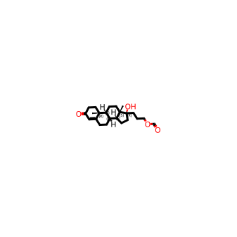 C[C@]12CCC(=O)C=C1CC[C@@H]1[C@@H]2CC[C@@]2(C)[C@H]1CC[C@@]2(O)CCCOC=O